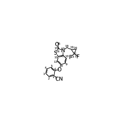 N#Cc1ccccc1Oc1ccc2c(c1)sc(=O)n2CC1CC1(F)F